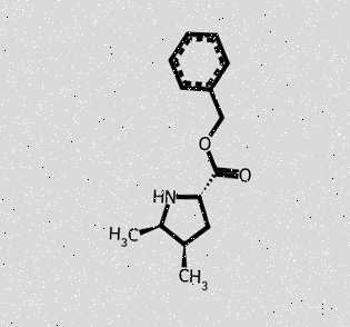 C[C@@H]1C[C@@H](C(=O)OCc2ccccc2)N[C@@H]1C